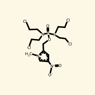 Cn1cc([N+](=O)[O-])cc1COP(=O)(N(CCCl)CCCl)N(CCCl)CCCl